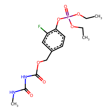 CCOP(=O)(OCC)Oc1ccc(COC(=O)NC(=O)NC)cc1F